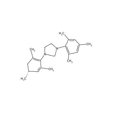 CC1=C[C@H](C)CC(C)=C1N1CCN(c2c(C)cc(C)cc2C)C1